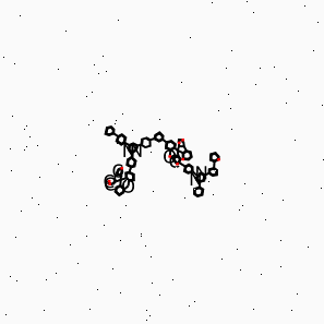 C1=CC2c3ccccc3C3(c4ccc(-c5cccc(C6=CC=C(c7cc(-c8ccc(-c9ccccc9)cc8)nc(-c8ccc(-c9ccc%10c(c9)C9(c%11ccccc%11O%10)c%10ccccc%10-c%10ccccc%109)cc8)n7)CC6)c5)cc4Oc4ccc(-c5ccc(-c6nc(-c7ccccc7)cc(-c7cccc(-c8ccccc8)c7)n6)cc5)cc43)C2C=C1